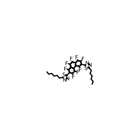 CCCCCCc1nnc(-c2c(F)c(F)c3c(c2F)c(F)c(F)c2c(F)c(F)c(-c4nnc(CCCCCC)s4)c(F)c23)s1